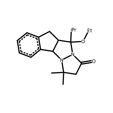 CCOC1(C(C)C)C2Cc3ccccc3C2N2N1C(=O)CC2(C)C